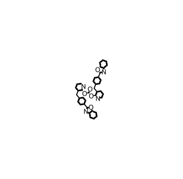 O=C(Oc1ncccc1Cc1ccc(-c2nc3ccccc3o2)cc1)Oc1ncccc1Cc1ccc(-c2nc3ccccc3o2)cc1